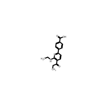 CCNc1nc(-c2ccc(C(=O)O)cc2)ccc1C(=O)CC